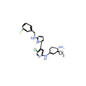 CC1CC(Nc2cc(-c3cccc(NCc4cccc(F)c4)n3)c(Cl)cn2)CC[C@@H]1N